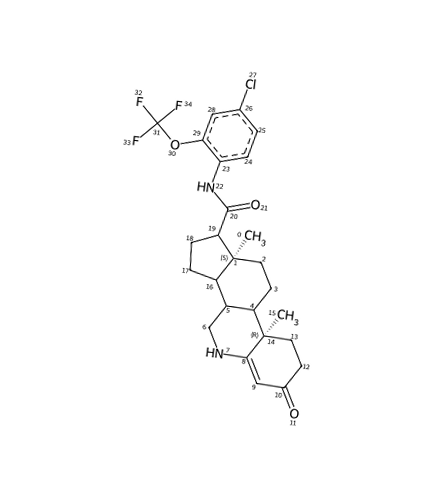 C[C@]12CCC3C(CNC4=CC(=O)CC[C@@]43C)C1CCC2C(=O)Nc1ccc(Cl)cc1OC(F)(F)F